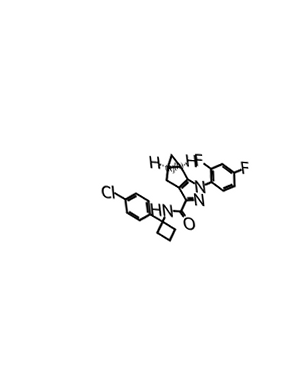 O=C(NC1(c2ccc(Cl)cc2)CCC1)c1nn(-c2ccc(F)cc2F)c2c1C[C@H]1C[C@@H]21